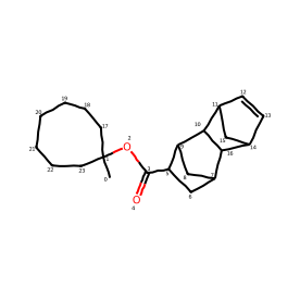 CC1(OC(=O)C2CC3CC2C2C4C=CC(C4)C32)CCCCCCC1